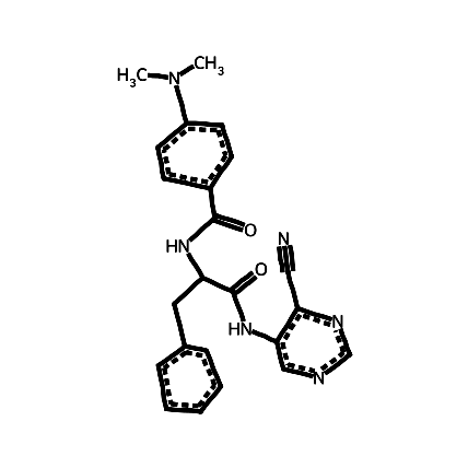 CN(C)c1ccc(C(=O)NC(Cc2ccccc2)C(=O)Nc2cncnc2C#N)cc1